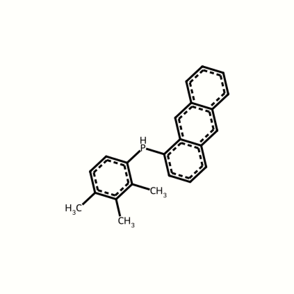 Cc1ccc(Pc2cccc3cc4ccccc4cc23)c(C)c1C